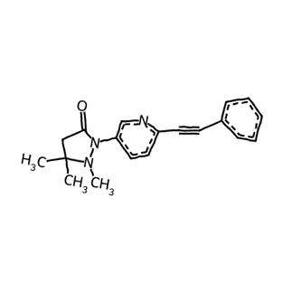 CN1N(c2ccc(C#Cc3ccccc3)nc2)C(=O)CC1(C)C